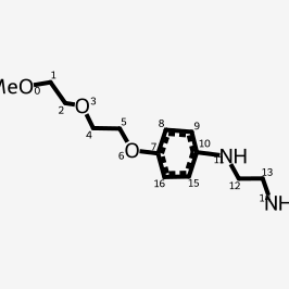 COCCOCCOc1ccc(NCCN)cc1